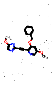 COc1cnc(C#Cc2ncc(OC)[nH]2)c(OCc2ccccc2)c1